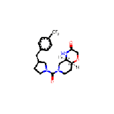 O=C1CO[C@H]2CCN(C(=O)N3CCC(Cc4ccc(C(F)(F)F)cc4)C3)C[C@H]2N1